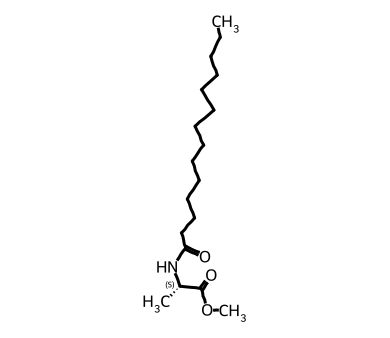 CCCCCCCCCCCCCC(=O)N[C@@H](C)C(=O)OC